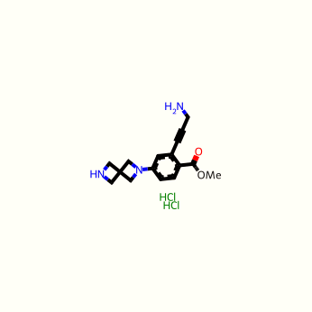 COC(=O)c1ccc(N2CC3(CNC3)C2)cc1C#CCN.Cl.Cl